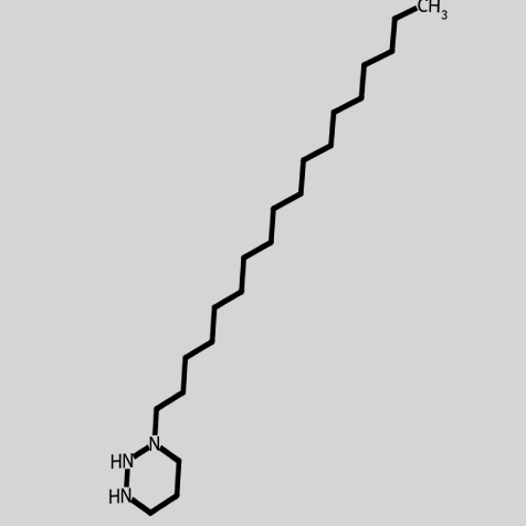 CCCCCCCCCCCCCCCCCCN1CCCNN1